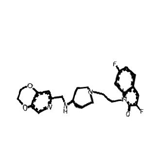 O=c1c(F)cc2ccc(F)cc2n1CCN1CCC(NCc2cc3c(cn2)OCCO3)CC1